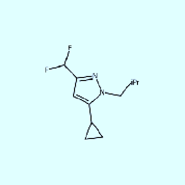 CC(C)Cn1nc(C(F)F)cc1C1CC1